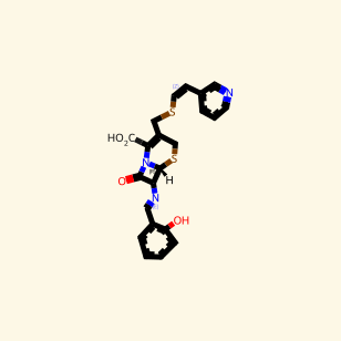 O=C(O)C1=C(CS/C=C\c2cccnc2)CS[C@@H]2C(/N=C/c3ccccc3O)C(=O)N12